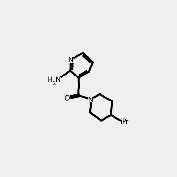 CC(C)C1CCN(C(=O)c2cccnc2N)CC1